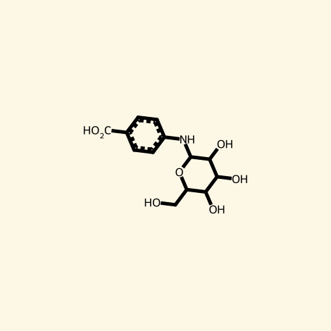 O=C(O)c1ccc(NC2OC(CO)C(O)C(O)C2O)cc1